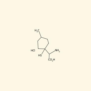 CC1CCC(S)(C(N)C(=O)O)CC1.Cl